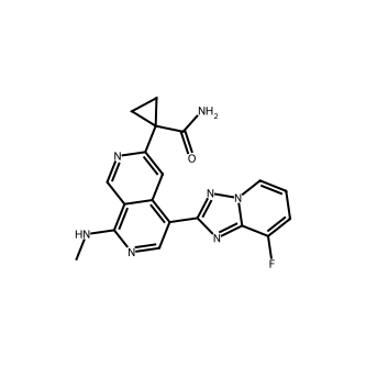 CNc1ncc(-c2nc3c(F)cccn3n2)c2cc(C3(C(N)=O)CC3)ncc12